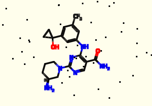 NC(=O)c1cnc(N2CCC[C@H](N)C2)nc1Nc1cc(C(F)(F)F)cc(C2(O)CC2)c1